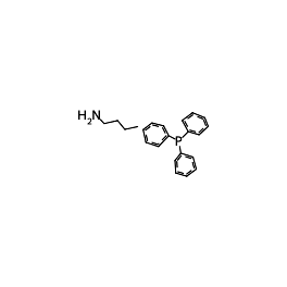 CCCCN.c1ccc(P(c2ccccc2)c2ccccc2)cc1